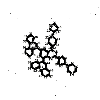 c1cncc(-c2ccc(-c3nc(-c4ccc(-c5cccnc5)cc4)c4cc(-c5cc6ccccc6c6ccccc56)cc(-c5cc6ccccc6c6ccccc56)c4n3)cc2)c1